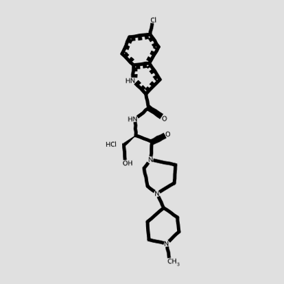 CN1CCC(N2CCN(C(=O)[C@@H](CO)NC(=O)c3cc4cc(Cl)ccc4[nH]3)CC2)CC1.Cl